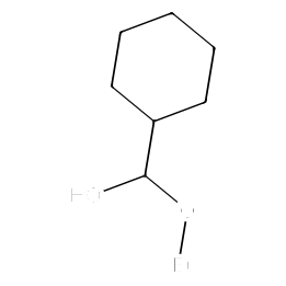 CCOC(O)C1CCCCC1